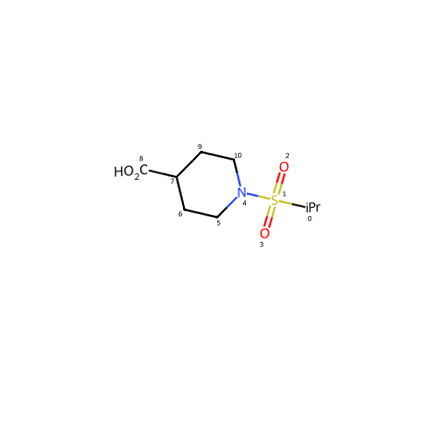 CC(C)S(=O)(=O)N1CCC(C(=O)O)CC1